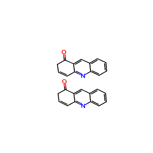 O=C1CC=Cc2nc3ccccc3cc21.O=C1CC=Cc2nc3ccccc3cc21